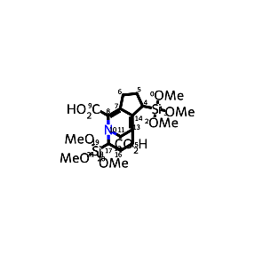 CO[Si](OC)(OC)C1CCC2=C(C(=O)O)N3C(C(=O)O)C(=C21)CCC3[Si](OC)(OC)OC